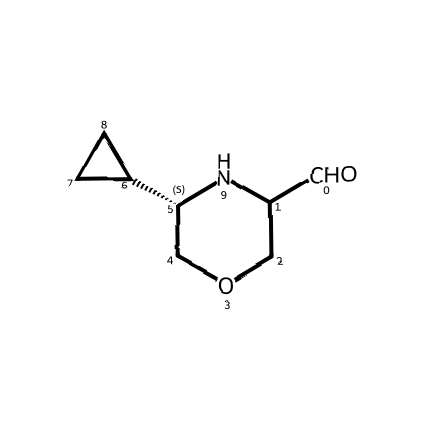 O=CC1COC[C@H](C2CC2)N1